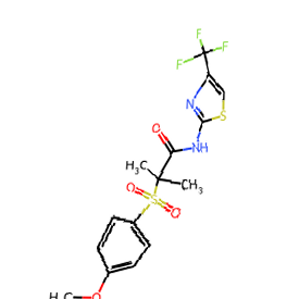 COc1ccc(S(=O)(=O)C(C)(C)C(=O)Nc2nc(C(F)(F)F)cs2)cc1